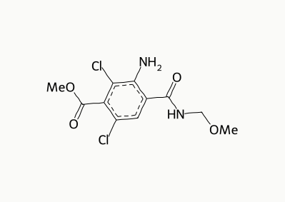 COCNC(=O)c1cc(Cl)c(C(=O)OC)c(Cl)c1N